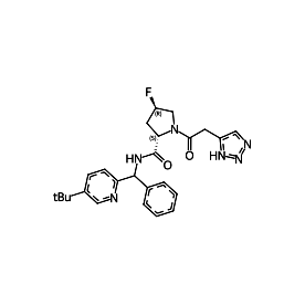 CC(C)(C)c1ccc(C(NC(=O)[C@@H]2C[C@@H](F)CN2C(=O)Cc2cnn[nH]2)c2ccccc2)nc1